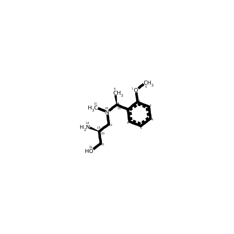 COc1ccccc1[C@H](C)N(C)C[C@H](N)CO